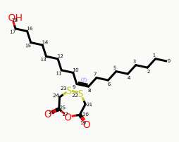 CCCCCCCC/C=C\CCCCCCCCO.O=C1CSSCC(=O)O1